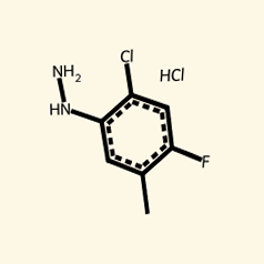 Cc1cc(NN)c(Cl)cc1F.Cl